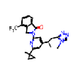 C[C@H](Cc1nncn1C)c1cc(N2Cc3c(cccc3C(F)(F)F)C2=O)nc(C2(C)CC2)c1